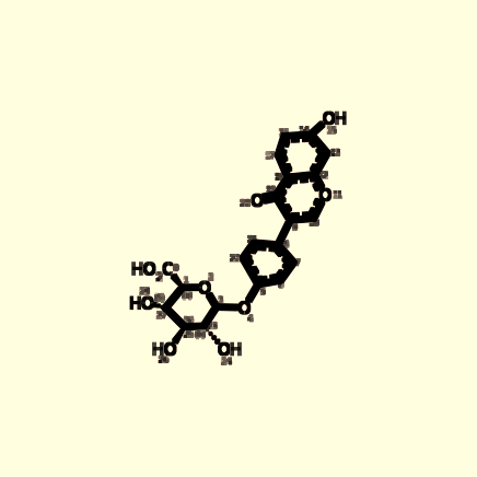 O=C(O)[C@H]1OC(Oc2ccc(-c3coc4cc(O)ccc4c3=O)cc2)[C@H](O)[C@@H](O)[C@@H]1O